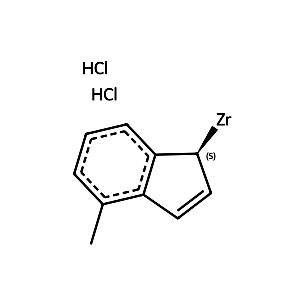 Cc1cccc2c1C=C[C@@H]2[Zr].Cl.Cl